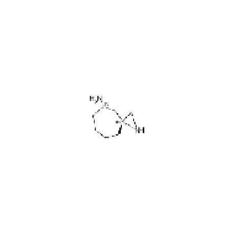 N[C@H]1CCCC[C@]2(CN2)C1